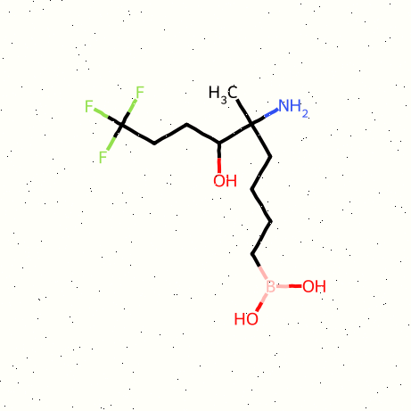 CC(N)(CCCCB(O)O)C(O)CCC(F)(F)F